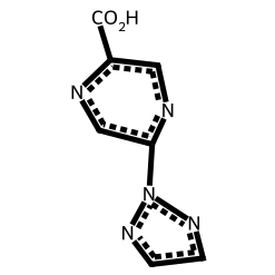 O=C(O)c1cnc(-n2nccn2)cn1